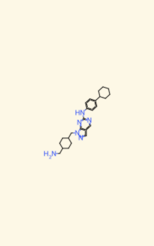 NCC1CCC(Cn2ncc3cnc(Nc4ccc(C5CCCCC5)cc4)nc32)CC1